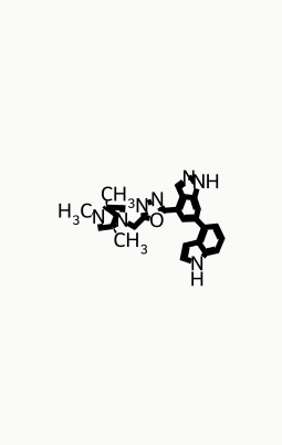 CN1C[C@@]2(C)C[C@]1(C)CN2Cc1nnc(-c2cc(-c3cccc4[nH]ccc34)cc3[nH]ncc23)o1